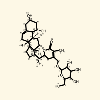 CC1=C(COC2OC(CO)C(O)C(O)C2O)CC([C@@H](C)[C@H]2CC[C@H]3[C@@H]4CC=C5C[C@@H](O)C[C@H](O)C5[C@H]4CC[C@]23C)OC1=O